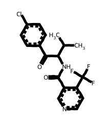 CC(C)C(NC(=O)c1cnccc1C(F)(F)F)C(=O)c1ccc(Cl)cc1